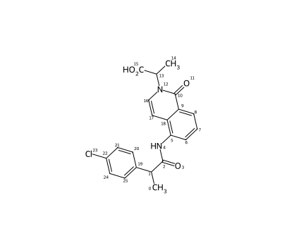 CC(C(=O)Nc1cccc2c(=O)n(C(C)C(=O)O)ccc12)c1ccc(Cl)cc1